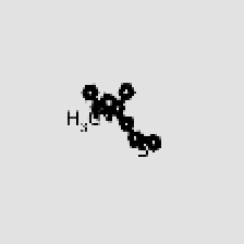 Cc1cc(-c2ccccc2)c2ccc3c(-c4ccccc4)cc(-c4ccc(-c5ccc6sc7ccccc7c6c5)cc4)nc3c2n1